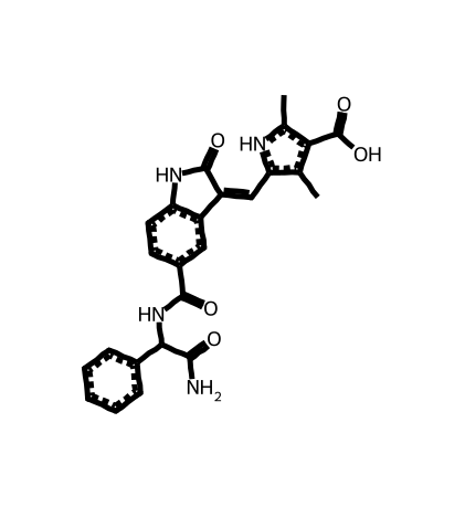 Cc1[nH]c(C=C2C(=O)Nc3ccc(C(=O)NC(C(N)=O)c4ccccc4)cc32)c(C)c1C(=O)O